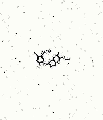 CCOC(=O)C(C)Oc1ccnc(Oc2cc(N=C=O)c(F)cc2Cl)n1